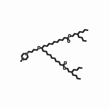 CCCCC(CCCC)CCOC(=O)CCCCCCCCCC(CCCCCCCCCC(=O)OCCC(CCCC)CCCC)OCCCCN1CCN(C)CC1